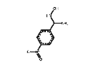 NC(NO)c1ccc([N+](=O)[O-])cc1